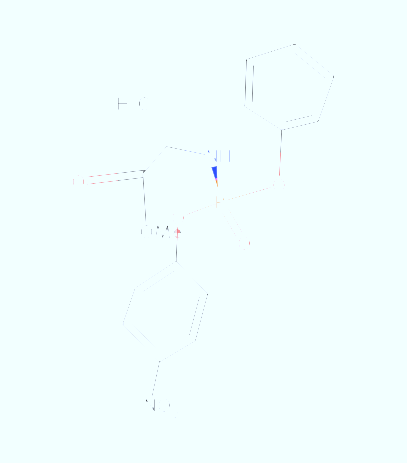 COC(=O)[C@H](C)N[P@](=O)(Oc1ccccc1)Oc1ccc([N+](=O)[O-])cc1